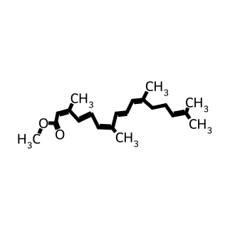 COC(=O)C=C(C)C=CC=C(C)C=CC=C(C)CCC=C(C)C